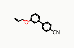 C=CCOc1cccc(-c2ccc(C#N)cc2)c1